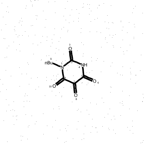 CCCCN1C(=O)NC(=O)C(=O)C1=O